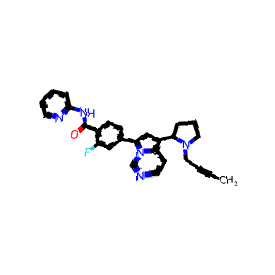 CC#CCN1CCCC1c1cc(-c2ccc(C(=O)Nc3ccccn3)c(F)c2)n2cnccc12